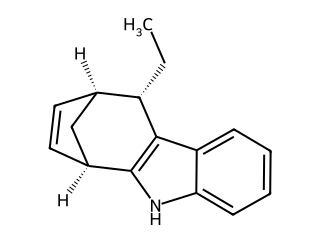 CC[C@@H]1c2c([nH]c3ccccc23)[C@H]2C=C[C@@H]1C2